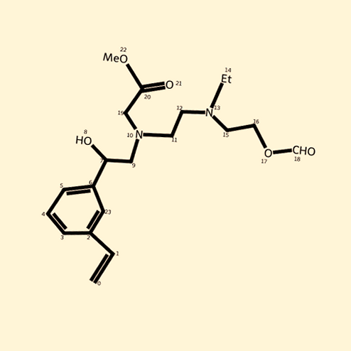 C=Cc1cccc(C(O)CN(CCN(CC)CCOC=O)CC(=O)OC)c1